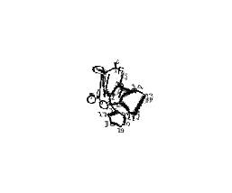 CC(F)C(=O)N1C(=O)OC(c2ccccc2)(c2ccccc2)C1C(C)C